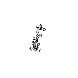 CC(C)(C)OC(=O)N[C@@H](C(=O)N1CCC[C@H]1C(=O)Nc1ccc2[nH]c(-c3ccc(-c4cnc([C@@H]5CCCN5C(=O)Cc5ccccc5)[nH]4)cc3)cc2c1)c1ccccc1